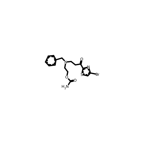 NC(=O)OCCN(CCC(=O)c1nc(Br)cs1)Cc1ccccc1